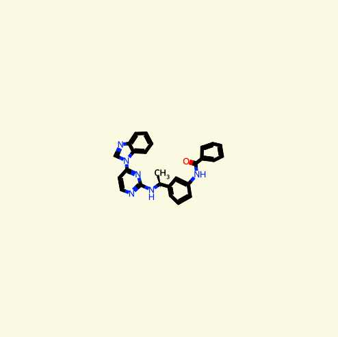 C[C@H](Nc1nccc(-n2cnc3ccccc32)n1)c1cccc(NC(=O)c2ccccc2)c1